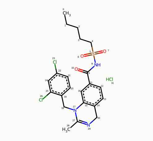 CCCCCS(=O)(=O)NC(=O)c1ccc2c(c1)N(Cc1ccc(Cl)cc1Cl)C(C)=NC2.Cl